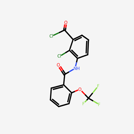 O=C(Nc1cccc(C(=O)Cl)c1Cl)c1ccccc1OC(F)(F)F